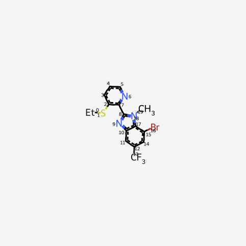 CCSc1cccnc1-c1nc2cc(C(F)(F)F)cc(Br)c2n1C